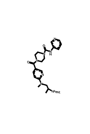 CCCCCC(C)CN(C)c1ccc(C(=O)N2CCN(C(=O)Nc3cccnc3)CC2)cn1